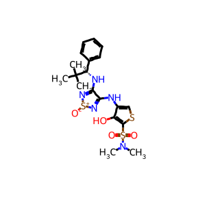 CN(C)S(=O)(=O)c1scc(Nc2n[s+]([O-])nc2N[C@@H](c2ccccc2)C(C)(C)C)c1O